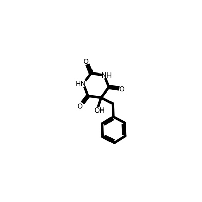 O=C1NC(=O)C(O)(Cc2ccccc2)C(=O)N1